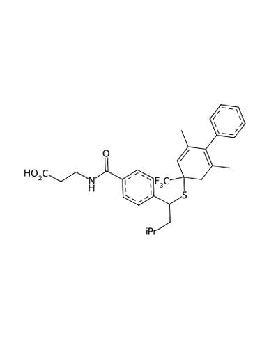 CC1=CC(SC(CC(C)C)c2ccc(C(=O)NCCC(=O)O)cc2)(C(F)(F)F)CC(C)=C1c1ccccc1